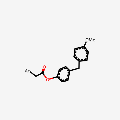 COc1ccc(Cc2ccc(OC(=O)CC(C)=O)cc2)cc1